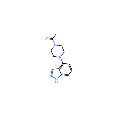 CC(=O)N1CCN(c2cccc3[nH]ncc23)CC1